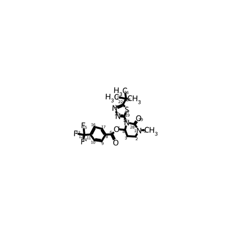 CN1CCC(OC(=O)c2ccc(C(F)(F)F)cc2)N(c2nnc(C(C)(C)C)s2)C1=O